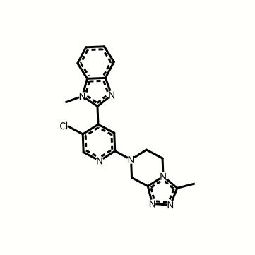 Cc1nnc2n1CCN(c1cc(-c3nc4ccccc4n3C)c(Cl)cn1)C2